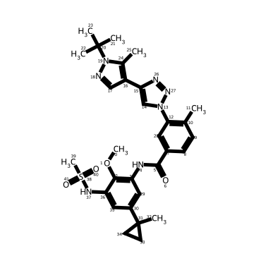 COc1c(NC(=O)c2ccc(C)c(-n3cc(-c4cnn(C(C)(C)C)c4C)nn3)c2)cc(C2(C)CC2)cc1NS(C)(=O)=O